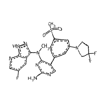 CN(c1nc(N)ncc1-c1cc(N2CCC(F)(F)C2)cc(S(C)(=O)=O)c1)c1n[nH]c2ncc(F)cc12